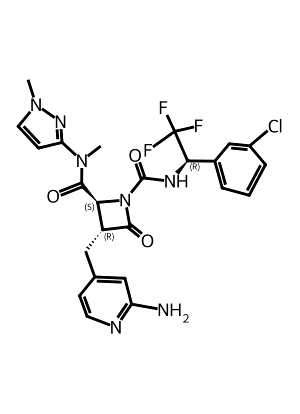 CN(C(=O)[C@@H]1[C@@H](Cc2ccnc(N)c2)C(=O)N1C(=O)N[C@H](c1cccc(Cl)c1)C(F)(F)F)c1ccn(C)n1